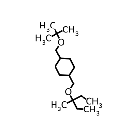 CCC(C)(CC)OCC1CCC(COC(C)(C)C)CC1